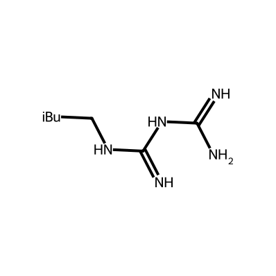 CCC(C)CNC(=N)NC(=N)N